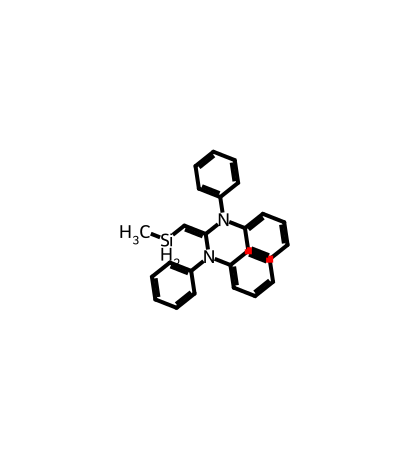 C[SiH2]C=C(N(c1ccccc1)c1ccccc1)N(c1ccccc1)c1ccccc1